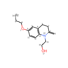 C=C1CCc2cc(OCCC(C)C)ccc2N1CCO